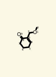 COCC1=CCCCC1=O